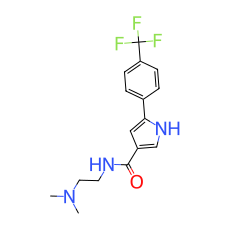 CN(C)CCNC(=O)c1c[nH]c(-c2ccc(C(F)(F)F)cc2)c1